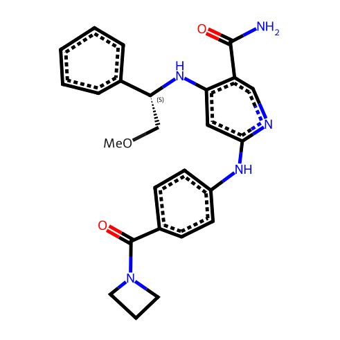 COC[C@@H](Nc1cc(Nc2ccc(C(=O)N3CCC3)cc2)ncc1C(N)=O)c1ccccc1